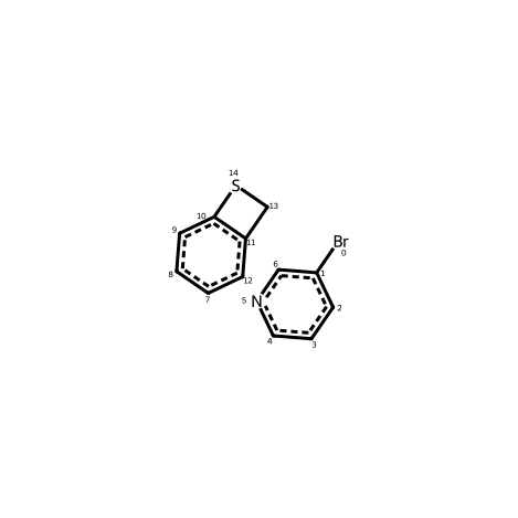 Brc1cccnc1.c1ccc2c(c1)CS2